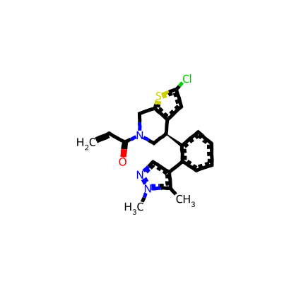 C=CC(=O)N1Cc2sc(Cl)cc2[C@@H](c2ccccc2-c2cnn(C)c2C)C1